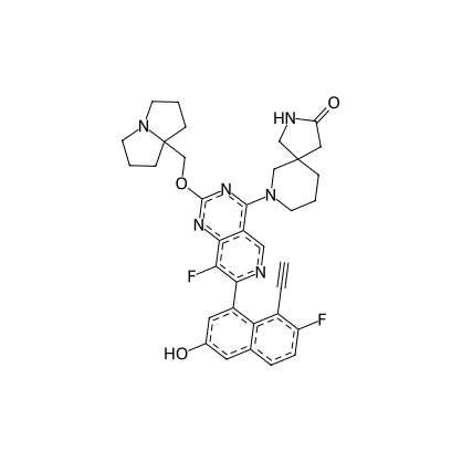 C#Cc1c(F)ccc2cc(O)cc(-c3ncc4c(N5CCCC6(CNC(=O)C6)C5)nc(OCC56CCCN5CCC6)nc4c3F)c12